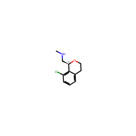 CNC[C@H]1OCCc2cccc(Cl)c21